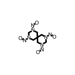 O=NN1CN(N=O)CC2(C1)CN(N=O)CN(N=O)C2